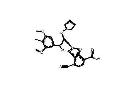 COc1cc(C(O)C(Cn2cc3c(C#N)ccc(C(=O)O)c3n2)OC2CCCC2)cc(OC)c1C